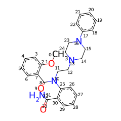 COc1ccccc1C(=O)N(CCN1CCN(c2ccccc2)CC1)c1ccccc1C(N)=O